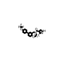 Cc1n[nH]cc1C(=O)N1CCOc2ccc(-c3ccc(OC(F)(F)F)cc3)cc2C1